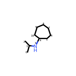 CC(C)NC1CCCCCC1